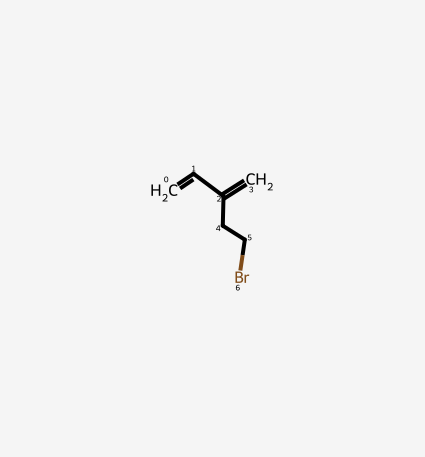 C=CC(=C)CCBr